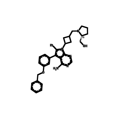 CCc1c(-c2cccc(OCc3ccccc3)c2)c2c(N)ncnc2n1C1CC(CN2CCC[C@@H]2CO)C1